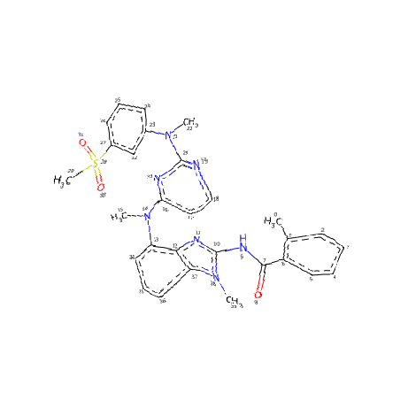 Cc1ccccc1C(=O)Nc1nc2c(N(C)c3ccnc(N(C)c4cccc(S(C)(=O)=O)c4)n3)cccc2n1C